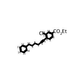 CCOC(=O)c1ccc(C#CCCCCc2ccccc2)c(Cl)c1